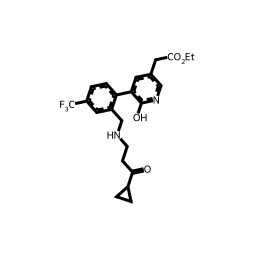 CCOC(=O)Cc1cnc(O)c(-c2ccc(C(F)(F)F)cc2CNCCC(=O)C2CC2)c1